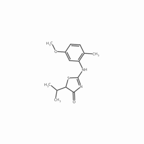 COc1ccc(C)c(NC2=NC(=O)C(C(C)C)S2)c1